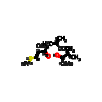 C=C(C)C(=O)O.C=C(C)C(=O)OC.CCCSC=CC(=O)OC